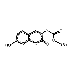 CC(C)(C)OC(=O)Nc1cc2ccc(O)cc2oc1=O